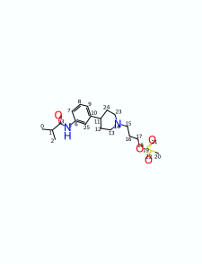 CC(C)C(=O)Nc1cccc(C2CCN(CCCOS(C)(=O)=O)CC2)c1